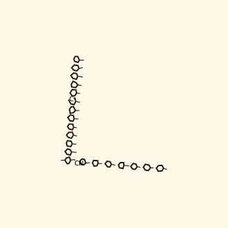 Cc1ccc(CC#N)cc1.Cc1ccccc1.Cc1ccccc1.Cc1ccccc1.Cc1ccccc1.Cc1ccccc1.Cc1ccccc1.Cc1ccccc1.Cc1ccccc1.Cc1ccccc1.Cc1ccccc1.Cc1ccccc1.Cc1ccccc1.Cc1ccccc1.Cc1ccccc1.Cc1ccccc1.Cc1ccccc1.Cc1ccccc1.Cc1ccccc1.Cc1ccccc1